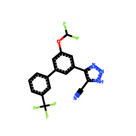 N#Cc1[nH]nnc1-c1cc(OC(F)F)cc(-c2cccc(C(F)(F)F)c2)c1